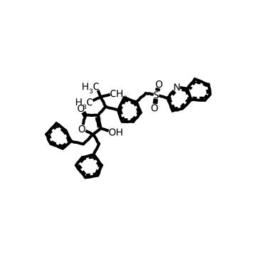 CC(C)(C)C(C1=C(O)C(Cc2ccccc2)(Cc2ccccc2)OC1=O)c1cccc(CS(=O)(=O)c2ccc3ccccc3n2)c1